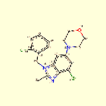 Cc1nc2c(Br)cc(N3CCOCC3)cc2n1Cc1ccccc1Cl